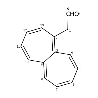 O=[C]CC1=C2C=CC=CC=C2C=CC=C1